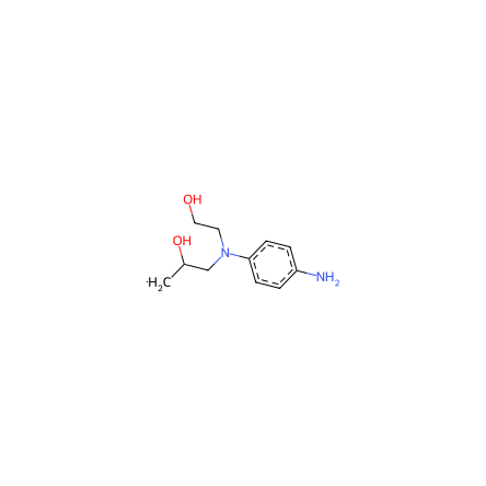 [CH2]C(O)CN(CCO)c1ccc(N)cc1